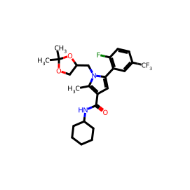 Cc1c(C(=O)NC2CCCCC2)cc(-c2cc(C(F)(F)F)ccc2F)n1CC1COC(C)(C)O1